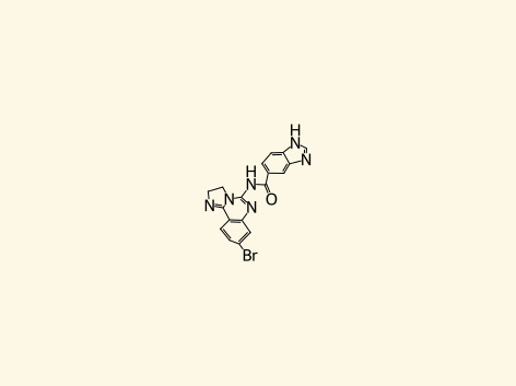 O=C(NC1=Nc2cc(Br)ccc2C2=NCCN12)c1ccc2[nH]cnc2c1